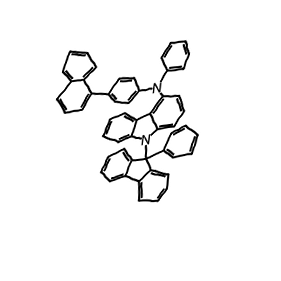 c1ccc(N(c2ccc(-c3cccc4ccccc34)cc2)c2cccc3c2c2ccccc2n3C2(c3ccccc3)c3ccccc3-c3ccccc32)cc1